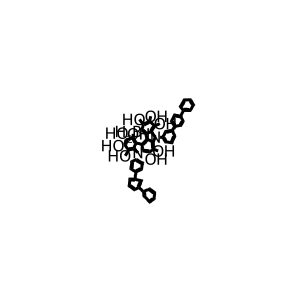 Bc1c(O)c(O)c(O)c2c1c1c3c4c(O)c(O)c(O)c(O)c4n(-c4ccc(-c5cccc(-c6ccccc6)c5)cc4)c3c(O)c(O)c1n2-c1cccc(-c2ccc(-c3ccccc3)cc2)c1